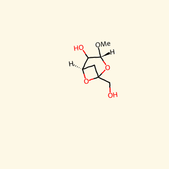 CO[C@@H]1OC2(CO)C[C@@H](O2)C1O